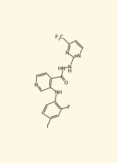 O=C(NNc1nccc(C(F)(F)F)n1)c1ccncc1Nc1ccc(I)cc1F